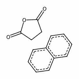 O=C1CCC(=O)O1.c1ccc2ccccc2c1